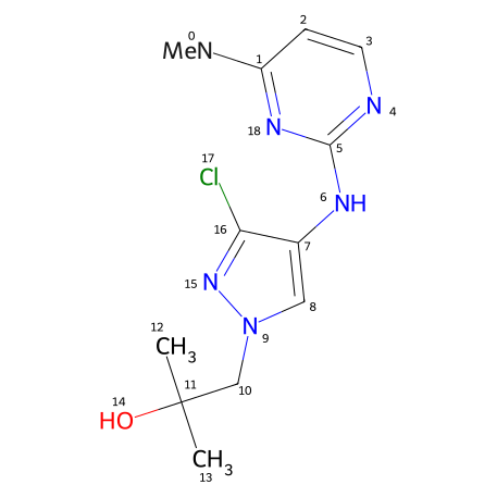 CNc1ccnc(Nc2cn(CC(C)(C)O)nc2Cl)n1